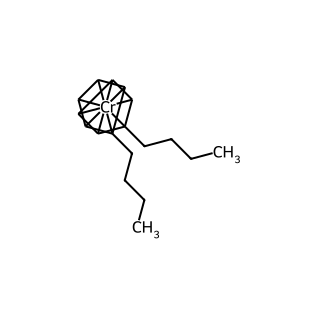 CCCC[C]12[CH]3[CH]4[CH]5[CH]1[Cr]45321678[CH]2[CH]1[CH]6[C]7(CCCC)[CH]28